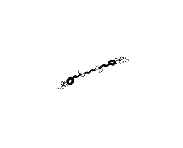 CC(O)Oc1ccc(/C=C/C(=O)OCCCCOC(=O)/C=C/c2ccc(OC(C)O)cc2)cc1